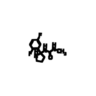 CNC(=O)NC1(c2cc(F)ccc2F)CCCN1